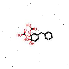 O=C(O)OC1(OC(=O)O)C=C(Cc2ccccc2)C=CC1(O)O